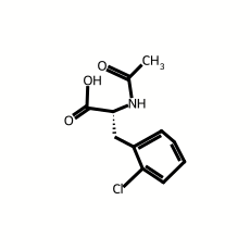 CC(=O)N[C@H](Cc1ccccc1Cl)C(=O)O